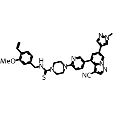 C=Cc1ccc(CNC(=S)N2CCN(c3ccc(-c4cc(-c5cnn(C)c5)cn5ncc(C#N)c45)cn3)CC2)cc1OC